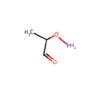 CC(C=O)OP